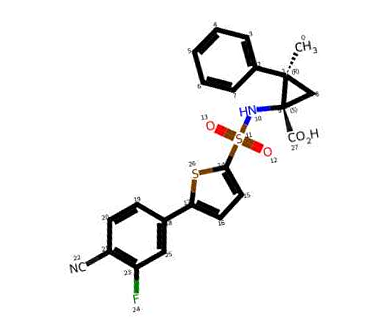 C[C@]1(c2ccccc2)C[C@@]1(NS(=O)(=O)c1ccc(-c2ccc(C#N)c(F)c2)s1)C(=O)O